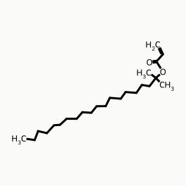 C=CC(=O)OC(C)(C)CCCCCCCCCCCCCCCCCC